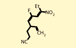 C=CC(/C=C(F)\C=C(/CC)[N+](=O)[O-])CCC#N